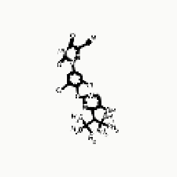 BC(B)(B)C(c1nc(Oc2c(Cl)cc(-n3nc(C#N)c(=O)[nH]c3=O)cc2Cl)ncc1O)C(B)(B)B